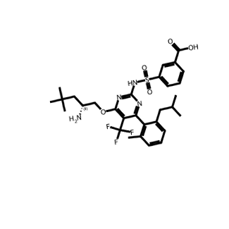 Cc1cccc(CC(C)C)c1-c1nc(NS(=O)(=O)c2cccc(C(=O)O)c2)nc(OC[C@H](N)CC(C)(C)C)c1C(F)(F)F